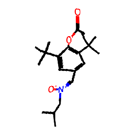 CC(=O)Oc1c(C(C)(C)C)cc(C=[N+]([O-])CC(C)C)cc1C(C)(C)C